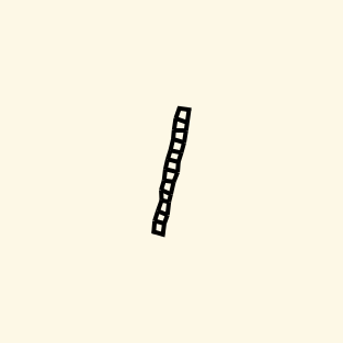 C1CC2C1C1C2C2C1C1C2C2C1C1C3C4C5C6C7CCC7C6C5C4C3C21